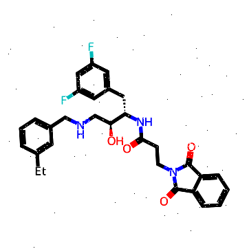 CCc1cccc(CNC[C@H](O)[C@H](Cc2cc(F)cc(F)c2)NC(=O)CCN2C(=O)c3ccccc3C2=O)c1